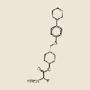 CCCCCCC[C@H](F)C(=O)OC1CCC(COc2ccc(C3CC[CH]CC3)cc2)CC1